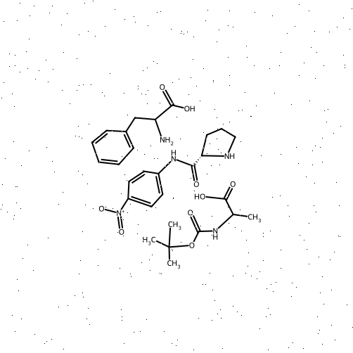 CC(NC(=O)OC(C)(C)C)C(=O)O.NC(Cc1ccccc1)C(=O)O.O=C(Nc1ccc([N+](=O)[O-])cc1)[C@@H]1CCCN1